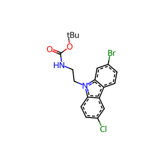 CC(C)(C)OC(=O)NCCn1c2ccc(Cl)cc2c2ccc(Br)cc21